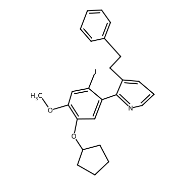 COc1cc(I)c(-c2ncccc2CCc2ccccc2)cc1OC1CCCC1